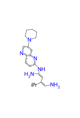 CC(C)C(=C/N)/C=C(\N)Nc1ccc2ncc(N3CCCCC3)cc2n1